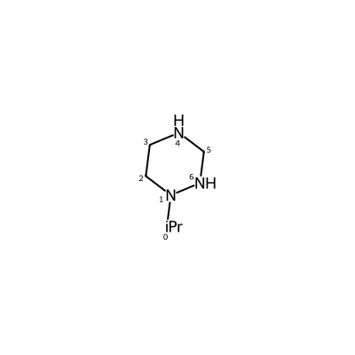 CC(C)N1CCNCN1